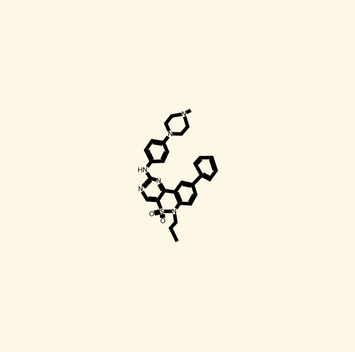 CCCN1c2ccc(-c3ccccc3)cc2-c2nc(Nc3ccc(N4CCN(C)CC4)cc3)ncc2S1(=O)=O